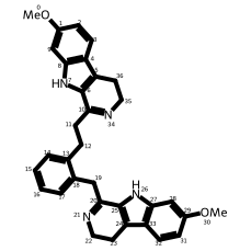 COc1ccc2c3c([nH]c2c1)C(CCc1ccccc1CC1=NCCc2c1[nH]c1cc(OC)ccc21)=NCC3